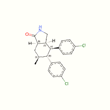 C[C@H]1C[C@H]2C(=O)NC[C@H]2[C@@H](c2ccc(Cl)cc2)[C@@H]1c1ccc(Cl)cc1